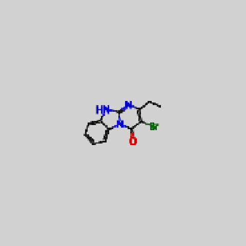 CCc1nc2[nH]c3ccccc3n2c(=O)c1Br